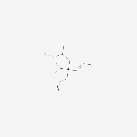 C=CCC(C=CCl)(CC(C)O)N(C)C.Cl